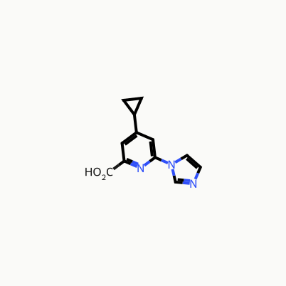 O=C(O)c1cc(C2CC2)cc(-n2ccnc2)n1